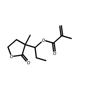 C=C(C)C(=O)OC(CC)C1(C)CCOC1=O